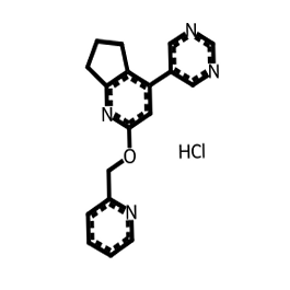 Cl.c1ccc(COc2cc(-c3cncnc3)c3c(n2)CCC3)nc1